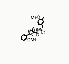 CCN(CC1=CC(C)C(OC)C=C1)NC(=O)c1sc(-c2ccccc2OC)nc1C